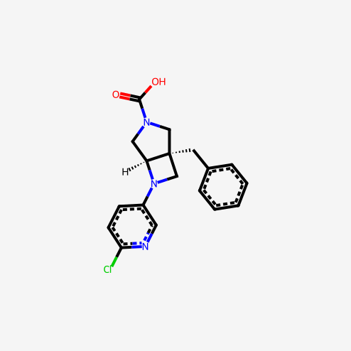 O=C(O)N1C[C@@H]2N(c3ccc(Cl)nc3)C[C@]2(Cc2ccccc2)C1